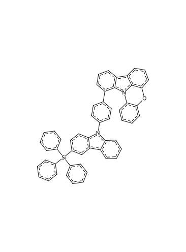 c1ccc([Si](c2ccccc2)(c2ccccc2)c2ccc3c(c2)c2ccccc2n3-c2ccc(-c3cccc4c5cccc6c5n(c34)-c3ccccc3O6)cc2)cc1